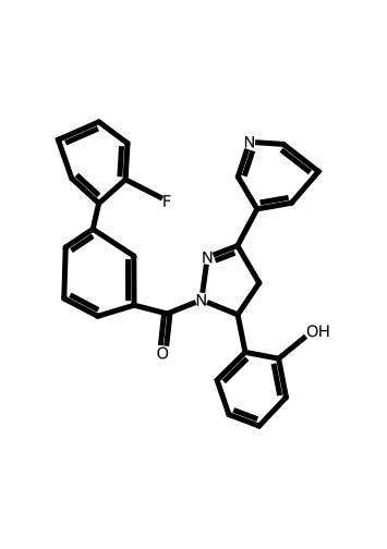 O=C(c1cccc(-c2ccccc2F)c1)N1N=C(c2cccnc2)CC1c1ccccc1O